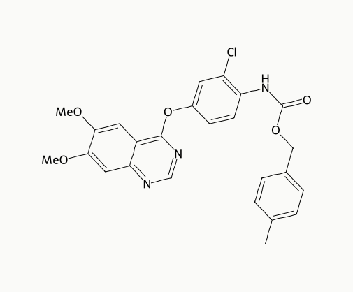 COc1cc2ncnc(Oc3ccc(NC(=O)OCc4ccc(C)cc4)c(Cl)c3)c2cc1OC